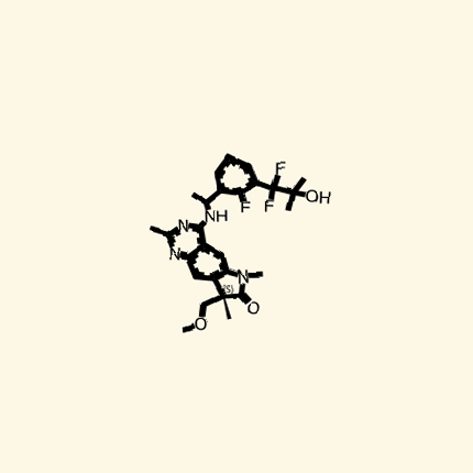 COC[C@@]1(C)C(=O)N(C)c2cc3c(NC(C)c4cccc(C(F)(F)C(C)(C)O)c4F)nc(C)nc3cc21